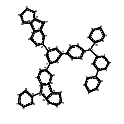 c1ccc(-c2cccc(N(c3ccccc3)c3ccc(-c4cc(-c5ccc6c(c5)oc5ccccc56)cc(-c5ccc6c(c5)c5ccccc5n6-c5ccccc5)c4)cc3)c2)cc1